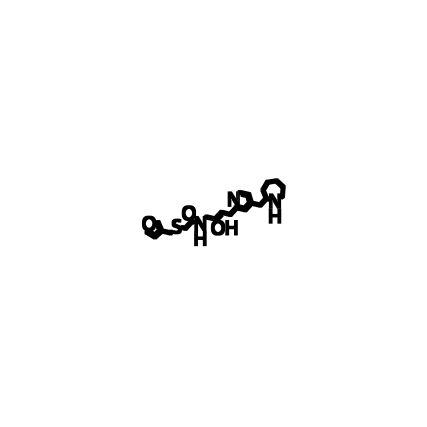 O=C(CSCc1ccoc1)NCC(O)=CCc1cc(CC2CCCCCN2)ccn1